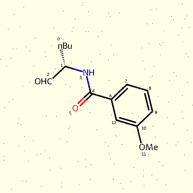 CCCC[C@@H](C=O)NC(=O)c1cccc(OC)c1